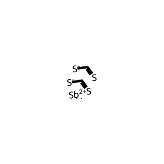 S=C[S-].S=C[S-].[Sb+2]